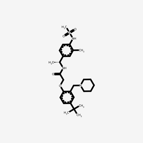 Cc1cc([C@@H](C)NC(=O)COc2ccc(C(C)(C)C)cc2CN2CCCCC2)ccc1NS(C)(=O)=O